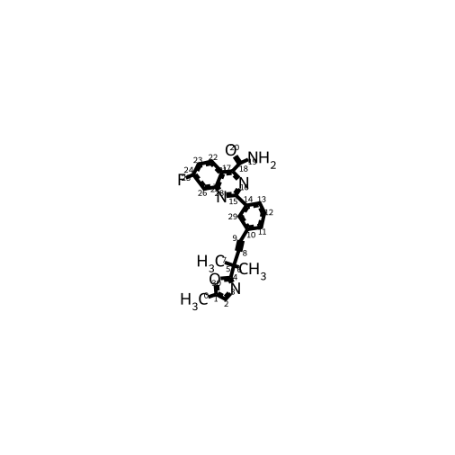 Cc1cnc(C(C)(C)C#Cc2cccc(-c3nc(C(N)=O)c4ccc(F)cc4n3)c2)o1